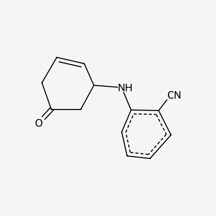 N#Cc1ccccc1NC1C=CCC(=O)C1